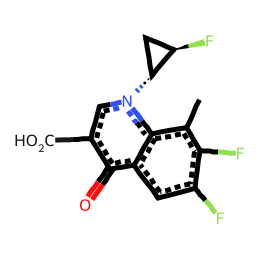 Cc1c(F)c(F)cc2c(=O)c(C(=O)O)cn([C@@H]3C[C@H]3F)c12